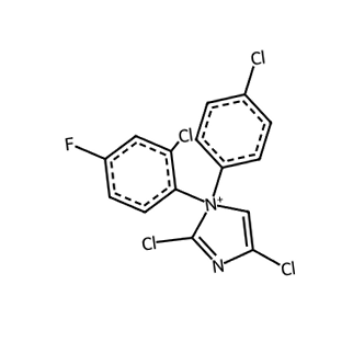 Fc1ccc([N+]2(c3ccc(Cl)cc3)C=C(Cl)N=C2Cl)c(Cl)c1